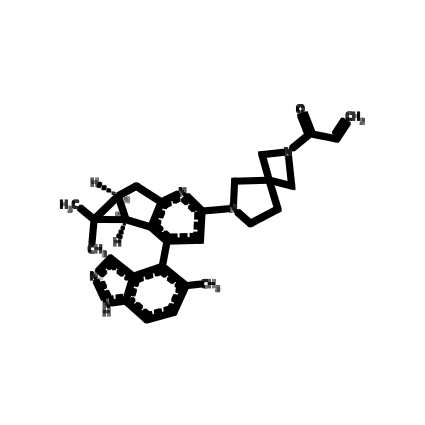 C=CC(=O)N1CC2(CCN(c3cc(-c4c(C)ccc5[nH]ncc45)c4c(n3)C[C@H]3[C@@H]4C3(C)C)C2)C1